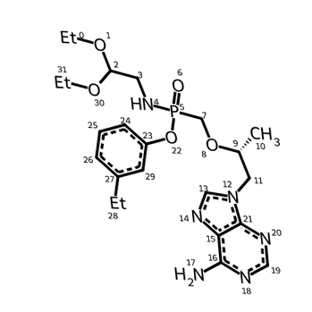 CCOC(CNP(=O)(CO[C@H](C)Cn1cnc2c(N)ncnc21)Oc1cccc(CC)c1)OCC